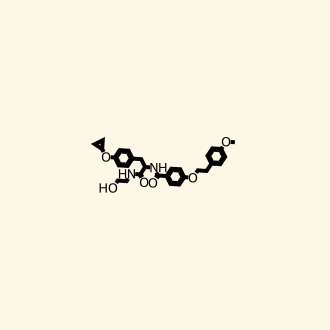 COc1ccc(CCOc2ccc(C(=O)NC(Cc3ccc(OC4CC4)cc3)C(=O)NCCO)cc2)cc1